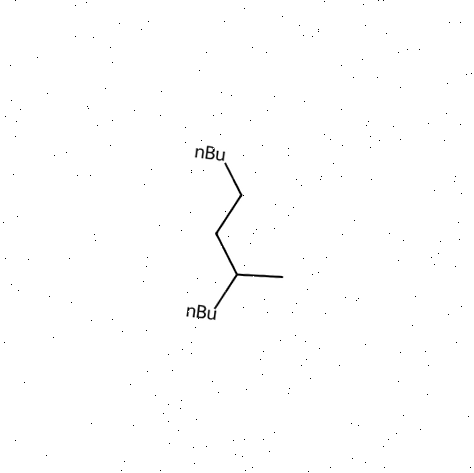 C[CH]CCCCC(C)CCCC